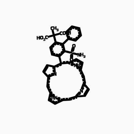 CC(C(=O)O)(C(=O)O)c1ccc(-c2c3nc(cc4ccc(cc5nc(cc6ccc2[nH]6)C=C5)[nH]4)C=C3)c(S(N)(=O)=O)c1-c1ccccc1